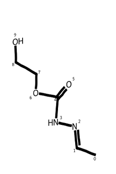 CC=NNC(=O)OCCO